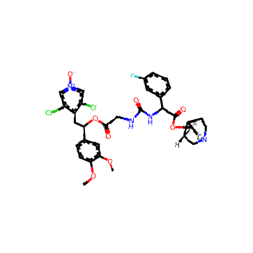 COc1ccc(C(Cc2c(Cl)c[n+]([O-])cc2Cl)OC(=O)CNC(=O)NC(C(=O)O[C@H]2CN3CCC2CC3)c2cccc(F)c2)cc1OC